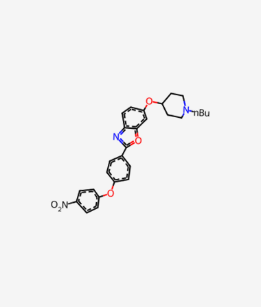 CCCCN1CCC(Oc2ccc3nc(-c4ccc(Oc5ccc([N+](=O)[O-])cc5)cc4)oc3c2)CC1